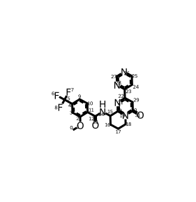 COc1cc(C(F)(F)F)ccc1C(=O)NC1CCCn2c1nc(-c1ccncn1)cc2=O